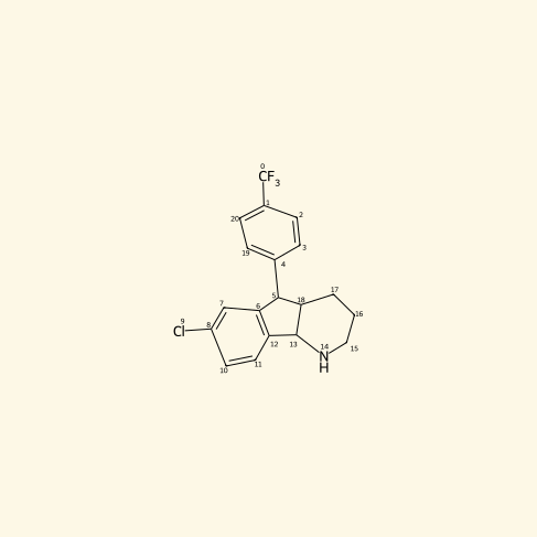 FC(F)(F)c1ccc(C2c3cc(Cl)ccc3C3NCCCC32)cc1